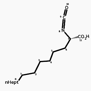 CCCCCCCCCCCCC[C@H](N=C=O)C(=O)O